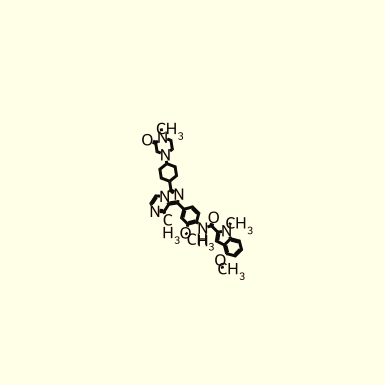 COc1cc(-c2nc(C3CCC(N4CCN(C)C(=O)C4)CC3)n3ccnc(C)c23)ccc1NC(=O)c1cc2c(OC)cccc2n1C